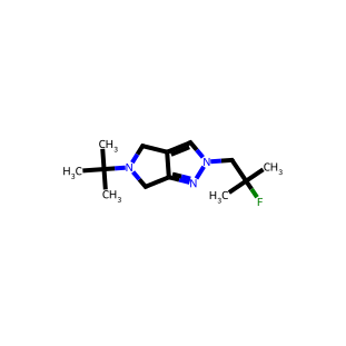 CC(C)(F)Cn1cc2c(n1)CN(C(C)(C)C)C2